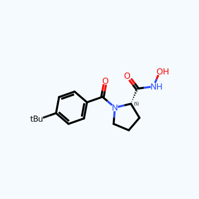 CC(C)(C)c1ccc(C(=O)N2CCC[C@H]2C(=O)NO)cc1